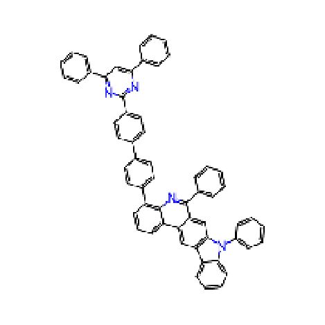 c1ccc(-c2cc(-c3ccccc3)nc(-c3ccc(-c4ccc(-c5cccc6c5nc(-c5ccccc5)c5cc7c(cc56)c5ccccc5n7-c5ccccc5)cc4)cc3)n2)cc1